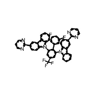 Fc1cc(F)cc(-c2c(-n3c4ccccc4c4cc(-c5ncccn5)ccc43)cc(C(F)(F)F)cc2-n2c3ccccc3c3cc(-c4ncccn4)ccc32)c1